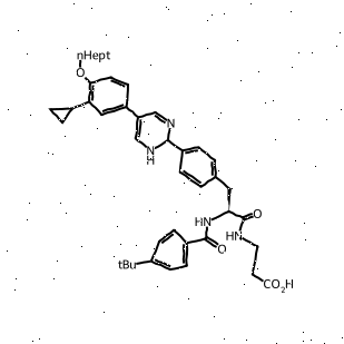 CCCCCCCOc1ccc(C2=CNC(c3ccc(C[C@H](NC(=O)c4ccc(C(C)(C)C)cc4)C(=O)NCCC(=O)O)cc3)N=C2)cc1C1CC1